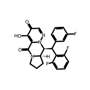 O=C1c2c(O)c(=O)cnn2[C@@H](C(c2cccc(F)c2)c2c(F)cccc2F)[C@H]2CCCN12